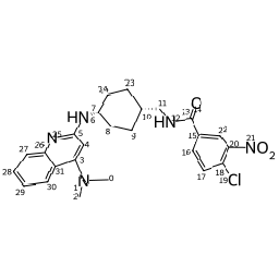 CN(C)c1cc(N[C@H]2CC[C@@H](CNC(=O)c3ccc(Cl)c([N+](=O)[O-])c3)CC2)nc2ccccc12